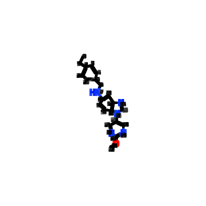 CCc1ccc(CNc2ccc3c(c2)ncn3-c2cnc(OC)nc2)cc1